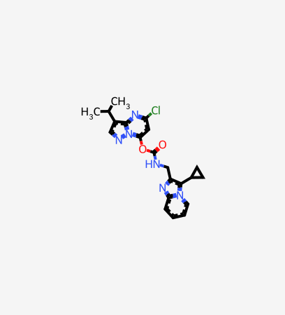 CC(C)c1cnn2c(OC(=O)NCc3nc4ccccn4c3C3CC3)cc(Cl)nc12